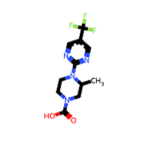 CC1CN(C(=O)O)CCN1c1ncc(C(F)(F)F)cn1